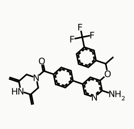 C=C1CN(C(=O)c2ccc(-c3cnc(N)c(OC(C)c4cccc(C(F)(F)F)c4)c3)cc2)CC(=C)N1